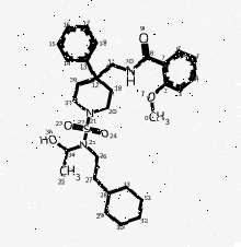 COc1ccccc1C(=O)NCC1(c2ccccc2)CCN(S(=O)(=O)N(CCC2CCCCC2)C(C)O)CC1